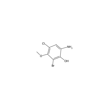 COc1c(Cl)cc(N)c(O)c1Br